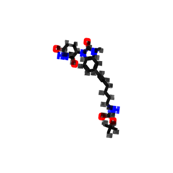 Cn1c(=O)n(C2CCC(=O)NC2=O)c2ccc(C#CCCCCNC(=O)OC(C)(C)C)cc21